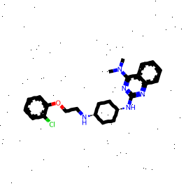 CN(C)c1nc(N[C@H]2CC[C@@H](NCCOc3ccccc3Cl)CC2)nc2ccccc12